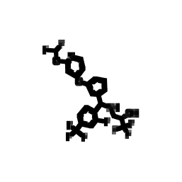 O[C@H](CNC(c1cccc(Oc2ccnc(OC(F)F)c2)c1)c1ccc(C(F)(F)F)cc1F)C(F)(F)F